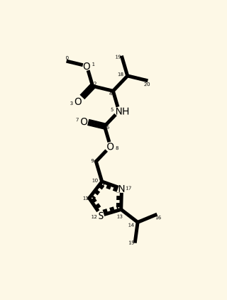 COC(=O)C(NC(=O)OCc1csc(C(C)C)n1)C(C)C